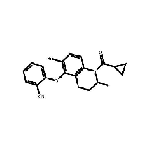 CC1CCc2c(ccc(Br)c2Oc2ccccc2C#N)N1C(=O)C1CC1